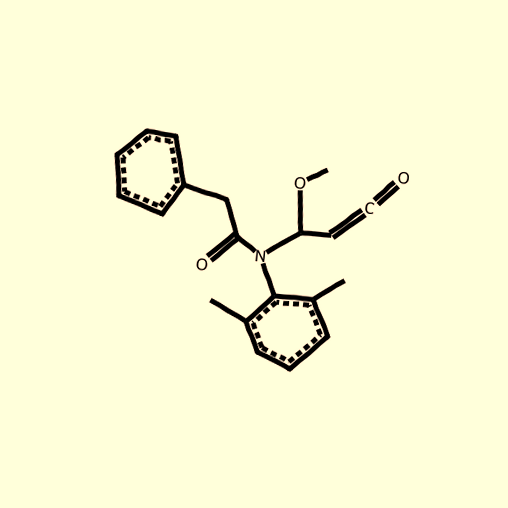 COC(C=C=O)N(C(=O)Cc1ccccc1)c1c(C)cccc1C